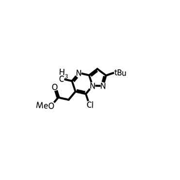 COC(=O)Cc1c(C)nc2cc(C(C)(C)C)nn2c1Cl